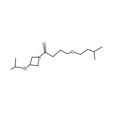 CC(C)CCOCCCC(=O)N1CC(OC(C)C)C1